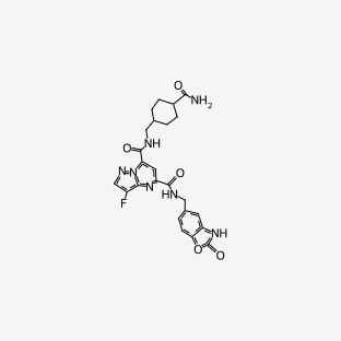 NC(=O)C1CCC(CNC(=O)c2cc(C(=O)NCc3ccc4oc(=O)[nH]c4c3)nc3c(F)cnn23)CC1